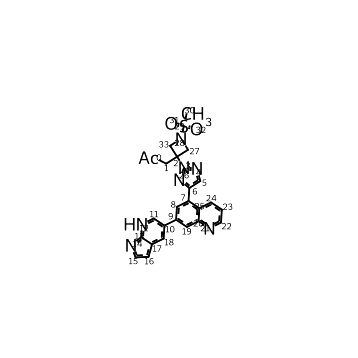 CC(=O)CC1(n2ncc(-c3cc(-c4c[nH]c5nccc-5c4)cc4ncccc34)n2)CN(S(C)(=O)=O)C1